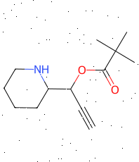 C#CC(OC(=O)C(C)(C)C)C1CCCCN1